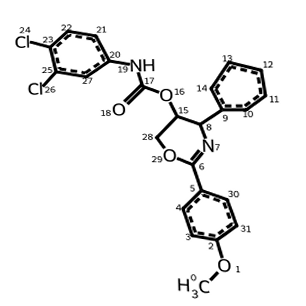 COc1ccc(C2=NC(c3ccccc3)C(OC(=O)Nc3ccc(Cl)c(Cl)c3)CO2)cc1